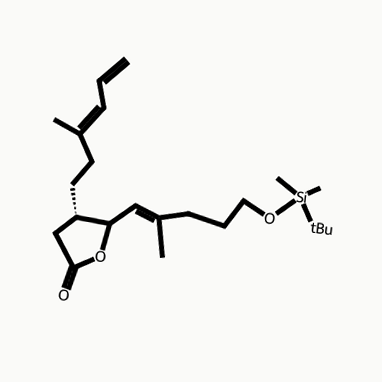 C=C/C=C(\C)CC[C@H]1CC(=O)OC1/C=C(\C)CCCO[Si](C)(C)C(C)(C)C